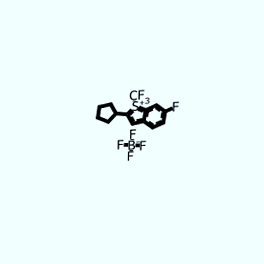 F[B-](F)(F)F.Fc1ccc2cc(C3CCCC3)[s+](C(F)(F)F)c2c1